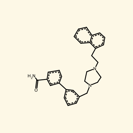 NC(=O)c1cccc(-c2cccc(CN3CCN(CCc4cccc5ccccc45)CC3)c2)c1